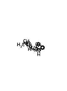 CN(C)C(=O)Cn1cc(Nc2nc(N3OCC[C@H]3c3ccccc3)c3cc[nH]c3n2)cn1